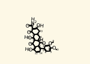 COc1ccc2c(c1OC)OC1c3c-2ccc(O)c3C(=O)C2=C(O)C3C(=O)C(C(N)=O)=C(O)CC3C[C@@H]21